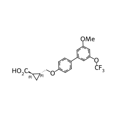 COc1cc(OC(F)(F)F)cc(-c2ccc(OC[C@@H]3C[C@H]3C(=O)O)cc2)c1